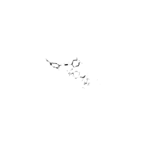 Cn1cc(C#Cc2cnc(Cl)cc2C2NCC23CCN(C(=O)OC(C)(C)C)CC3)cn1